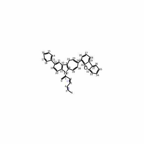 C=C(/C=C\C=C/C)n1c2c(c3cc(-c4ccccc4)ccc31)CC=C(c1cccc3c1oc1ccccc13)C=C2